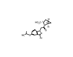 CC(=O)c1nn(CC(=O)N2[C@@H]3C[C@@H]3C[C@H]2C(=O)O)c2ccc(OC(C)C#N)cc12